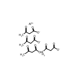 CC(=O)CC(=O)O.CC(=O)CC(=O)[O-].CC(=O)CC(=O)[O-].CC(=O)CC(=O)[O-].[Al+3]